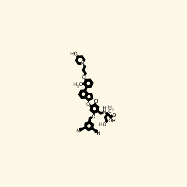 Cc1c(OCCCN2CCC(O)CC2)cccc1-c1cccc2c1CC[C@@H]2Oc1cc(OCc2cc(C#N)cc(C#N)c2)c(CNC(C)(CCO)C(=O)O)cc1Cl